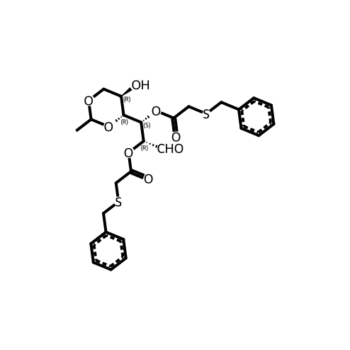 CC1OC[C@@H](O)[C@H]([C@H](OC(=O)CSCc2ccccc2)[C@H](C=O)OC(=O)CSCc2ccccc2)O1